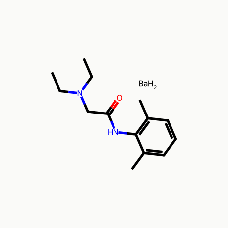 CCN(CC)CC(=O)Nc1c(C)cccc1C.[BaH2]